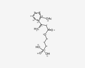 C=C(CC(=O)OCCCP(=O)(O)O)c1ccccc1OC(C)=O